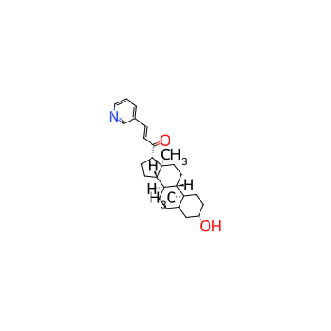 C[C@]12CC[C@H]3[C@@H](CCC4C[C@@H](O)CC[C@@]43C)[C@@H]1CC[C@@H]2C(=O)/C=C/c1cccnc1